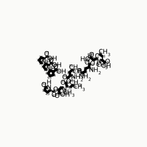 CC(C)C[C@@H](C(=O)O)N(C)CC(OC(=O)[C@@H](N)CCC(N)=O)C(=O)O.CC(C)C[C@H](N)C(=O)OC(=O)[C@H](CC(C)C)N(C)CC(OC(=O)[C@@H]1CCC(=O)N1)C(=O)O.O=C(O)C1CCCC1.O=C(O)[C@@H]1CCCN1.O=C(O)[C@@H]1CCCN1